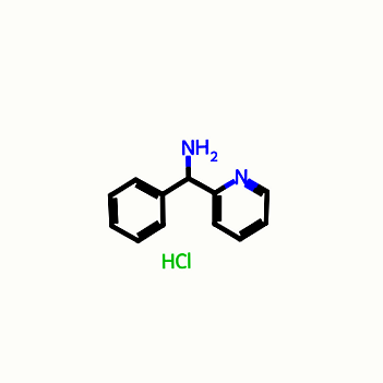 Cl.NC(c1ccccc1)c1ccccn1